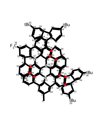 Cc1cc(-c2ccccc2)c(N2c3cc(-n4c5ccc(C(C)(C)C)cc5c5cc(C(C)(C)C)ccc54)cc(-c4ccccc4)c3B3c4c(-c5ccccc5)cc(-n5c6ccc(C(C)(C)C)cc6c6cc(C(C)(C)C)ccc65)cc4N(c4c(-c5ccccc5)cc(C(F)(F)F)cc4-c4ccccc4)c4cc(C(C)(C)C)cc2c43)c(-c2ccccc2)c1